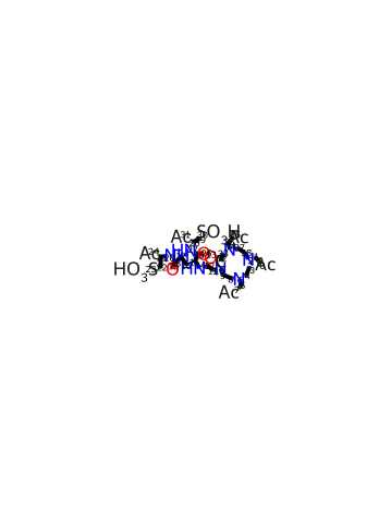 CC(=O)CN1CCN(CC(C)=O)CCN(CC(=O)N[C@@H](CCC(=O)N[C@@H](CS(=O)(=O)O)C(C)=O)C(=O)N[C@@H](CS(=O)(=O)O)C(C)=O)CCN(CC(C)=O)CC1